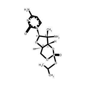 CC(C)OP1(=O)OC[C@H]2O[C@@H](n3ccc(N)nc3=O)[C@](C)(N)[C@@H]2O1